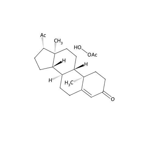 CC(=O)OO.CC(=O)[C@H]1CC[C@H]2[C@@H]3CCC4=CC(=O)CC[C@]4(C)[C@H]3CC[C@]12C